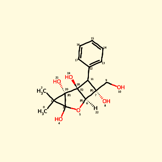 CC1(C)C2(O)O[C@@H]3[C@](O)(CO)C(c4ccccc4)[C@@]3(O)[C@]12O